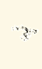 CN1CCCC1COc1nc(N2CCN[C@@H](CC#N)C2)c2cnc(-c3cccc4c3C3CC3C4)c(F)c2n1